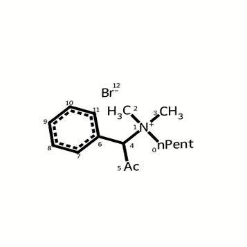 CCCCC[N+](C)(C)C(C(C)=O)c1ccccc1.[Br-]